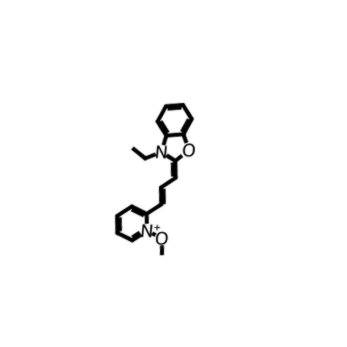 CCN1C(=CC=Cc2cccc[n+]2OC)Oc2ccccc21